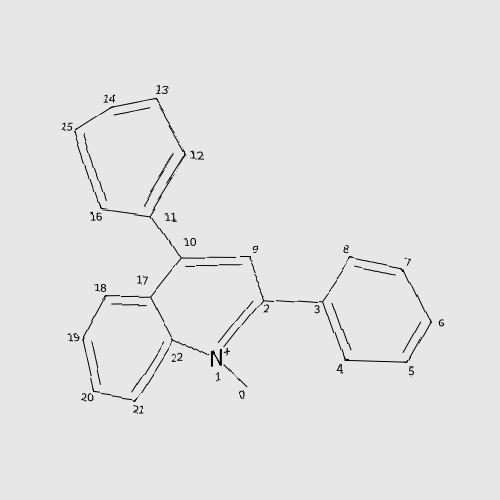 C[n+]1c(-c2ccccc2)cc(-c2ccccc2)c2ccccc21